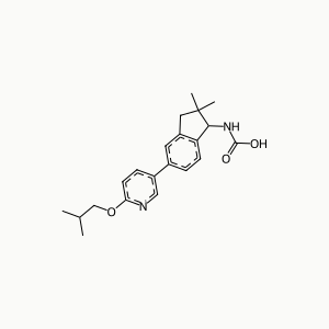 CC(C)COc1ccc(-c2ccc3c(c2)CC(C)(C)C3NC(=O)O)cn1